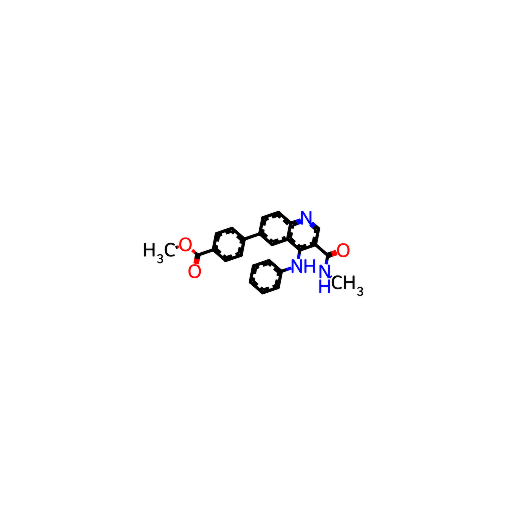 CNC(=O)c1cnc2ccc(-c3ccc(C(=O)OC)cc3)cc2c1Nc1ccccc1